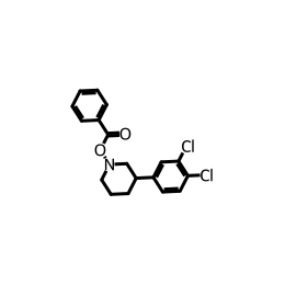 O=C(ON1CCCC(c2ccc(Cl)c(Cl)c2)C1)c1ccccc1